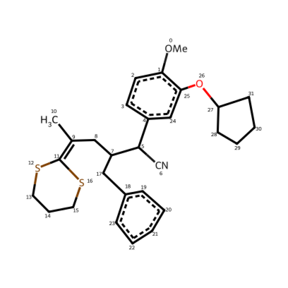 COc1ccc(C(C#N)C(CC(C)=C2SCCCS2)Cc2ccccc2)cc1OC1CCCC1